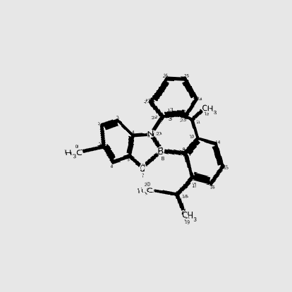 Cc1ccc2c(c1)OB(c1c(C(C)C)cccc1C(C)C)N2c1ccccc1